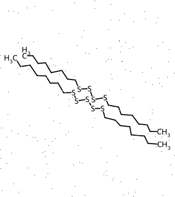 CCCCCCCCSSSSCCCCCCCC.CCCCCCCCSSSSSCCCCCCCC